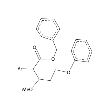 COC(CCOc1ccccc1)C(C(C)=O)C(=O)OCc1ccccc1